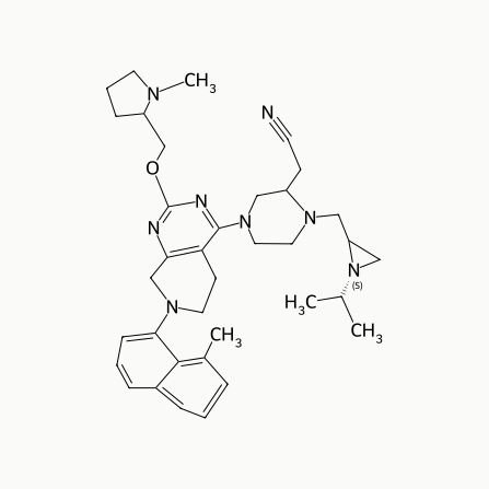 Cc1cccc2cccc(N3CCc4c(nc(OCC5CCCN5C)nc4N4CCN(CC5C[N@]5C(C)C)C(CC#N)C4)C3)c12